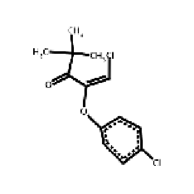 CC(C)(C)C(=O)C(=CCl)Oc1ccc(Cl)cc1